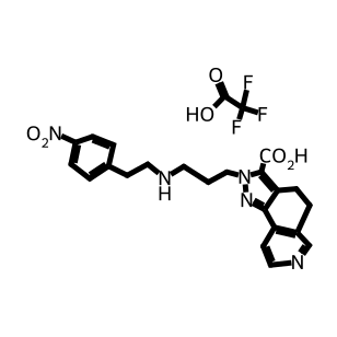 O=C(O)C(F)(F)F.O=C(O)c1c2c(nn1CCCNCCc1ccc([N+](=O)[O-])cc1)-c1ccncc1CC2